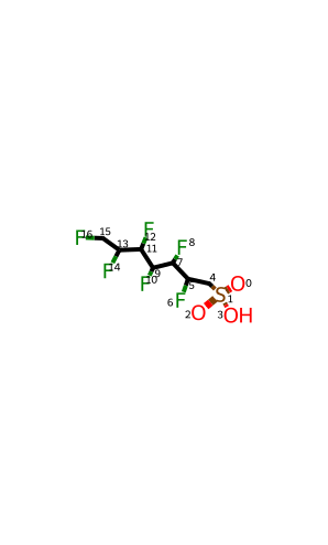 O=S(=O)(O)CC(F)C(F)C(F)C(F)C(F)CF